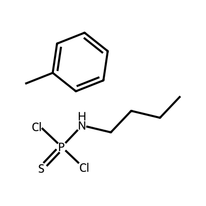 CCCCNP(=S)(Cl)Cl.Cc1ccccc1